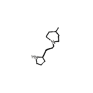 CC1CCN(CCC2CCCN2)CC1